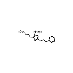 CCCCCCCCCCCCCc1nc(CCCc2ccccc2)cn1CCCCCCC